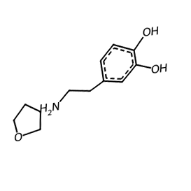 C1CCOC1.NCCc1ccc(O)c(O)c1